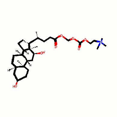 C[C@H](CCC(=O)OCOC(=O)OCC[N+](C)(C)C)[C@H]1CC[C@H]2[C@@H]3CC[C@@H]4C[C@H](O)CC[C@]4(C)[C@H]3C[C@H](O)[C@]12C